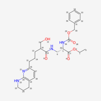 CCOC(=O)[C@H](CNC(=O)C(CO)CCCc1ccc2c(n1)NCCC2)NC(=O)OCc1ccccc1